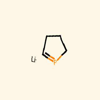 C1=PCCC1.[Li]